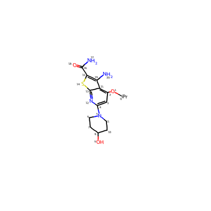 CC(C)Oc1cc(N2CCC(O)CC2)nc2sc(C(N)=O)c(N)c12